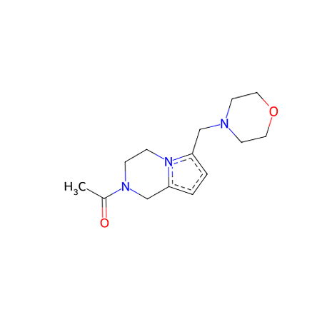 CC(=O)N1CCn2c(CN3CCOCC3)ccc2C1